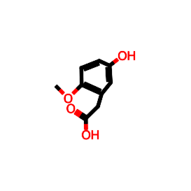 COc1ccc(O)cc1CC(=O)O